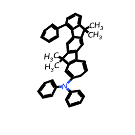 CC1(C)C2=C(C=CCC(N(c3ccccc3)c3ccccc3)=C2)c2cc3c(cc21)-c1c(-c2ccccc2)cccc1C3(C)C